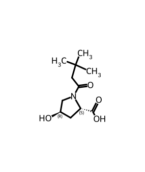 CC(C)(C)CC(=O)N1C[C@H](O)C[C@H]1C(=O)O